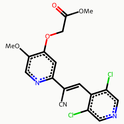 COC(=O)COc1cc(C(C#N)=Cc2c(Cl)cncc2Cl)ncc1OC